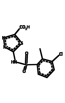 Cc1c(Cl)cccc1S(=O)(=O)Nc1nnc(C(=O)O)s1